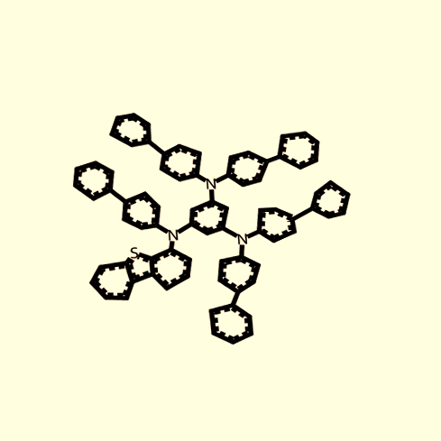 c1ccc(-c2ccc(N(c3ccc(-c4ccccc4)cc3)c3cc(N(c4ccc(-c5ccccc5)cc4)c4ccc(-c5ccccc5)cc4)cc(N(c4ccc(-c5ccccc5)cc4)c4cccc5c4sc4ccccc45)c3)cc2)cc1